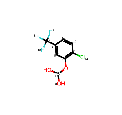 OB(O)Oc1cc(C(F)(F)F)ccc1Cl